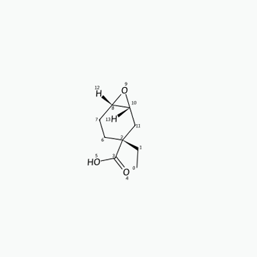 CC[C@@]1(C(=O)O)CC[C@@H]2O[C@@H]2C1